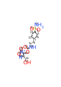 NS(=O)(=O)c1ccc(CCNC(=O)Oc2c(CO)no[n+]2[O-])cc1